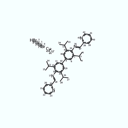 Br.Br.Br.Br.CC(C)c1cc(-c2cc(C(C)C)c(N=Cc3ccccn3)c(C(C)C)c2)cc(C(C)C)c1N=Cc1ccccn1.[Cu].[Cu]